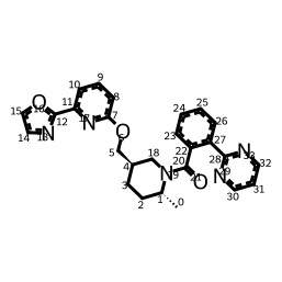 C[C@@H]1CC[C@@H](COc2cccc(-c3ncco3)n2)CN1C(=O)c1ccccc1-c1ncccn1